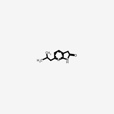 CC(C)Cc1ccc2c(n1)NC(=O)C2